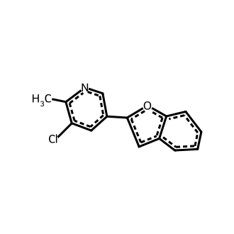 Cc1ncc(-c2cc3ccccc3o2)cc1Cl